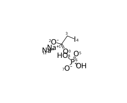 O=C([O-])CI.O=P([O-])(O)O.[Na+].[Na+]